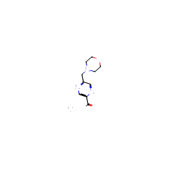 COC(=O)c1cnc(CN2CCOCC2)cn1